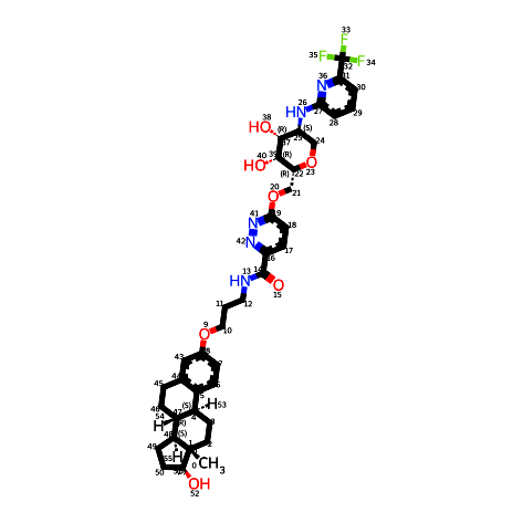 C[C@]12CC[C@@H]3c4ccc(OCCCNC(=O)c5ccc(OC[C@H]6OC[C@H](Nc7cccc(C(F)(F)F)n7)[C@@H](O)[C@H]6O)nn5)cc4CC[C@H]3[C@@H]1CC[C@@H]2O